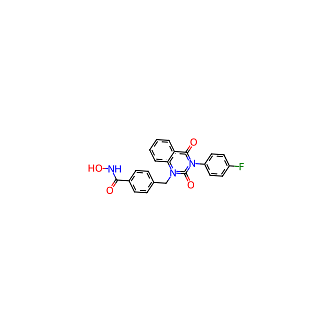 O=C(NO)c1ccc(Cn2c(=O)n(-c3ccc(F)cc3)c(=O)c3ccccc32)cc1